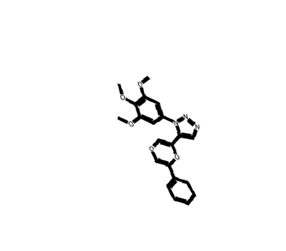 COc1cc(-n2nncc2C2=COC=C(C3=CC=CCC3)O2)cc(OC)c1OC